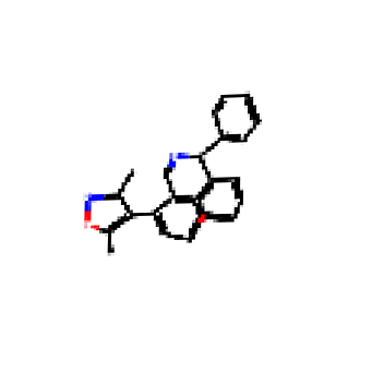 Cc1noc(C)c1-c1ccccc1/C=N\C(c1ccccc1)c1ccccc1